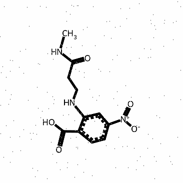 CNC(=O)CCNc1cc([N+](=O)[O-])ccc1C(=O)O